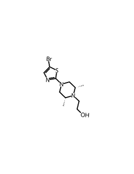 C[C@@H]1CN(c2ncc(Br)s2)C[C@H](C)N1CCO